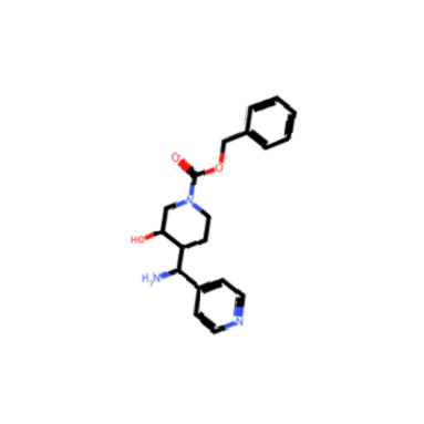 NC(c1ccncc1)C1CCN(C(=O)OCc2ccccc2)CC1O